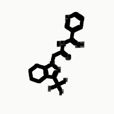 N=C(NC(=O)Cn1nc(C(F)(F)F)c2c1CCCC2)c1cccnc1